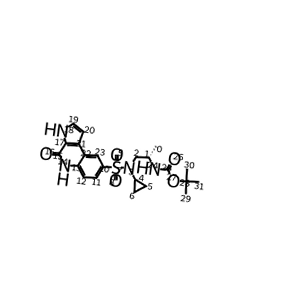 C[C@@H](CN(C1CC1)S(=O)(=O)c1ccc2[nH]c(=O)c3[nH]ccc3c2c1)NC(=O)OC(C)(C)C